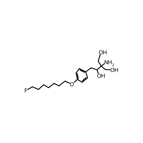 NC(CO)(CO)C(O)Cc1ccc(OCCCCCCCF)cc1